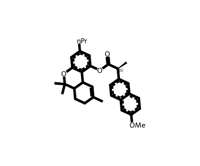 CCCc1cc(OC(=O)[C@@H](C)c2ccc3cc(OC)ccc3c2)c2c(c1)OC(C)(C)C1CCC(C)=CC21